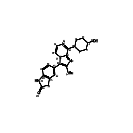 CC(C)(C)c1nc2c(N3CCC(O)CC3)nccn2c1-c1ccc2c(c1)CC(=O)N2